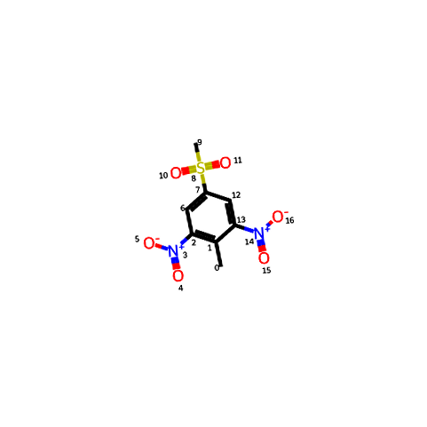 Cc1c([N+](=O)[O-])cc(S(C)(=O)=O)cc1[N+](=O)[O-]